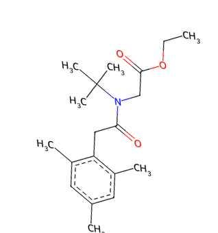 CCOC(=O)CN(C(=O)Cc1c(C)cc(C)cc1C)C(C)(C)C